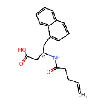 C=CCCC(=O)N[C@@H](CC(=O)O)Cc1cccc2ccccc12